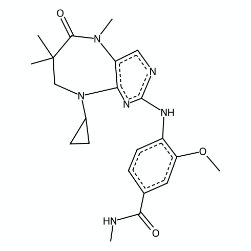 CNC(=O)c1ccc(Nc2ncc3c(n2)N(C2CC2)CC(C)(C)C(=O)N3C)c(OC)c1